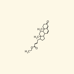 CCOC(=O)/C=C/CC1CCC2C3C=CC4=CC(=O)CCC4(C)C3CCC12C